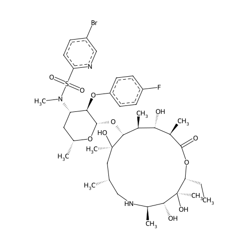 CC[C@H]1OC(=O)[C@H](C)[C@@H](O)[C@H](C)[C@@H](O[C@@H]2O[C@H](C)C[C@H](N(C)S(=O)(=O)c3ccc(Br)cn3)[C@H]2Oc2ccc(F)cc2)[C@](C)(O)C[C@@H](C)CN[C@H](C)[C@@H](O)[C@]1(C)O